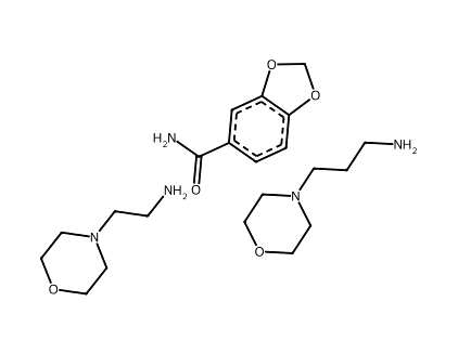 NC(=O)c1ccc2c(c1)OCO2.NCCCN1CCOCC1.NCCN1CCOCC1